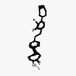 Cc1ccc(-c2ccc(CCc3ccc(C4CCCCC4)c(F)c3F)cc2)cc1F